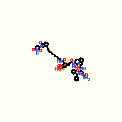 NC(=O)OC[C@H](NC(=O)[C@@H]1Cc2cccc3c2N1C(=O)[C@@H](NC(=O)c1cc2cc(C(F)(F)P(=O)(O)O)cc(C(=O)NCCCCCCCCC#Cc4cccc5c4CN(C4CCC(=O)NC4=O)C5=O)c2s1)CC3)C(=O)NC(c1ccccc1)c1ccccc1